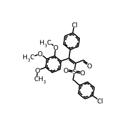 COc1ccc(/C(=C(/C=O)S(=O)(=O)Cc2ccc(Cl)cc2)c2ccc(Cl)cc2)c(OC)c1OC